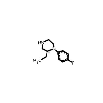 CC[C@H]1CNCCN1c1ccc(F)cc1